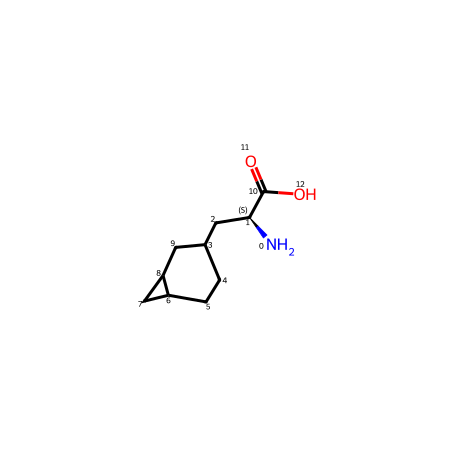 N[C@@H](CC1CCC2CC2C1)C(=O)O